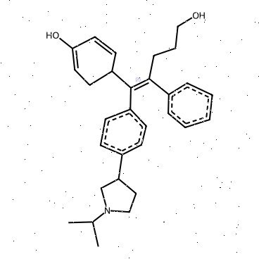 CC(C)N1CCC(c2ccc(/C(=C(/CCCO)c3ccccc3)C3C=CC(O)=CC3)cc2)C1